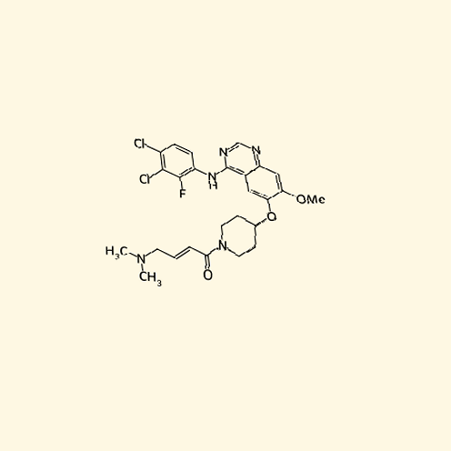 COc1cc2ncnc(Nc3ccc(Cl)c(Cl)c3F)c2cc1OC1CCN(C(=O)/C=C/CN(C)C)CC1